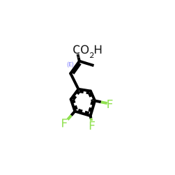 C/C(=C\c1cc(F)c(F)c(F)c1)C(=O)O